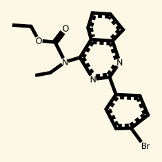 CCOC(=O)N(CC)c1nc(-c2ccc(Br)cc2)nc2ccccc12